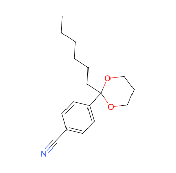 CCCCCCC1(c2ccc(C#N)cc2)OCCCO1